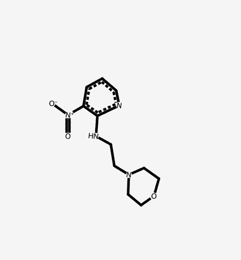 O=[N+]([O-])c1cccnc1NCCN1CCOCC1